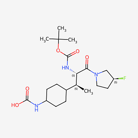 C[C@@H](C1CCC(NC(=O)O)CC1)[C@H](NC(=O)OC(C)(C)C)C(=O)N1CC[C@H](F)C1